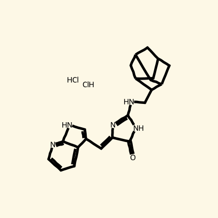 Cl.Cl.O=C1NC(NCC2C3CC4CC(C3)CC2C4)=NC1=Cc1c[nH]c2ncccc12